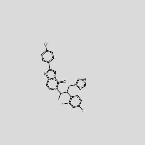 CC(C(Cn1cncn1)c1ccc(F)cc1F)n1ccc2nc(-c3ccc(Br)cc3)cn2c1=O